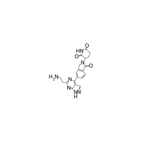 NCCc1nc(-c2ccc3c(c2)CN(C2CCC(=O)NC2=O)C3=O)c2cn[nH]c2n1